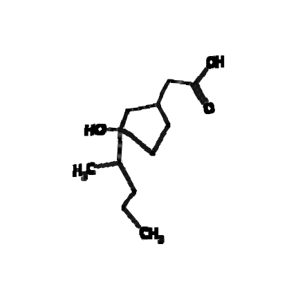 CCCC(C)C1(O)CCC(CC(=O)O)C1